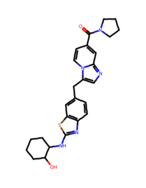 O=C(c1ccn2c(Cc3ccc4nc(NC5CCCCC5O)sc4c3)cnc2c1)N1CCCC1